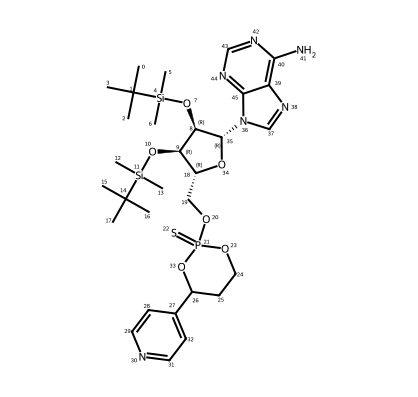 CC(C)(C)[Si](C)(C)O[C@@H]1[C@H](O[Si](C)(C)C(C)(C)C)[C@@H](COP2(=S)OCCC(c3ccncc3)O2)O[C@H]1n1cnc2c(N)ncnc21